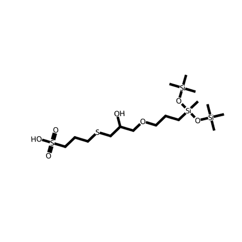 C[Si](C)(C)O[Si](C)(CCCOCC(O)CSCCCS(=O)(=O)O)O[Si](C)(C)C